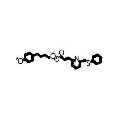 COc1ccc(CCCCOOC(=O)C=Cc2cccc(CSc3ccccc3)n2)cc1